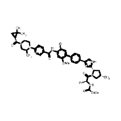 COC(=O)N[C@H](C(=O)N1C[C@@H](C)C[C@H]1c1nc(-c2ccc(-c3cc(Cl)c(NC(=O)c4ccc(N5CCN(C(=O)[C@H]6CC6(C)C)CC5C)nc4)cc3OC)cc2)c[nH]1)C(C)C